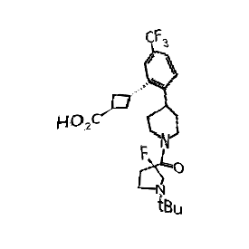 CC(C)(C)N1CC[C@](F)(C(=O)N2CCC(c3ccc(C(F)(F)F)cc3[C@H]3C[C@H](C(=O)O)C3)CC2)C1